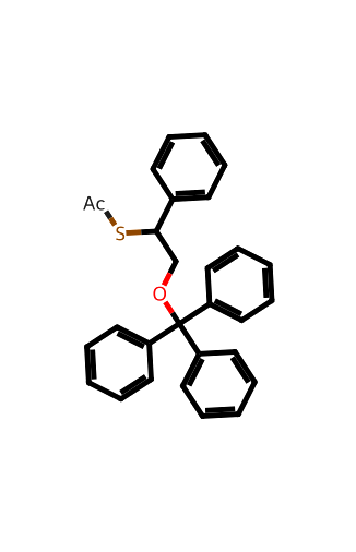 CC(=O)SC(COC(c1ccccc1)(c1ccccc1)c1ccccc1)c1ccccc1